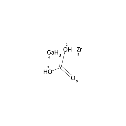 O=C(O)O.[GaH3].[Zr]